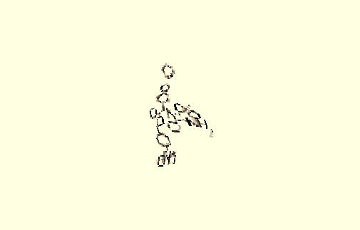 CC(=O)O[C@@H]1[C@@H](N)C(=O)N1C(C(=O)OCc1ccc([N+](=O)[O-])cc1)c1ccc(OCc2ccccc2)cc1